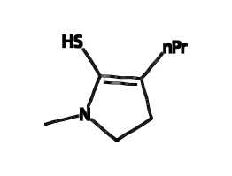 CCCC1=C(S)N(C)CC1